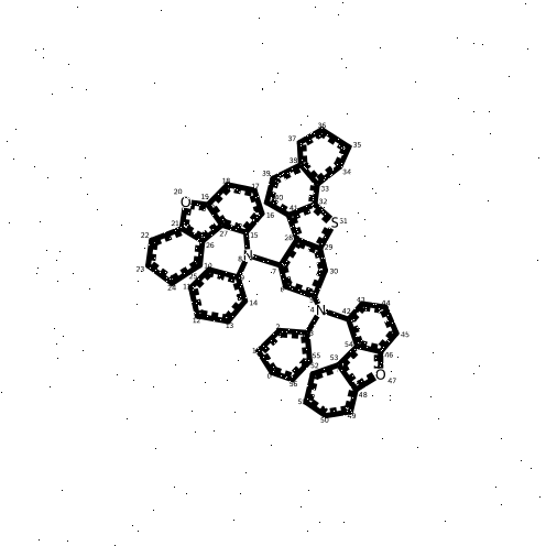 c1ccc(N(c2cc(N(c3ccccc3)c3cccc4oc5ccccc5c34)c3c(c2)sc2c4ccccc4ccc23)c2cccc3oc4ccccc4c23)cc1